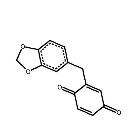 O=C1C=CC(=O)C(Cc2ccc3c(c2)OCO3)=C1